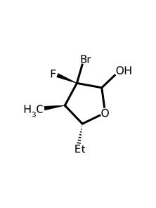 CC[C@H]1OC(O)[C@@](F)(Br)[C@@H]1C